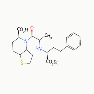 CCOC(=O)[C@H](CCc1ccccc1)NC(C)C(=O)N1C2CCSC2CC[C@H]1C(=O)O